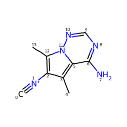 [C-]#[N+]c1c(C)c2c(N)ncnn2c1C